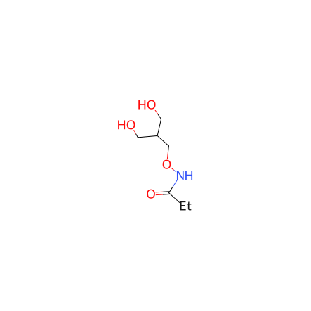 CCC(=O)NOCC(CO)CO